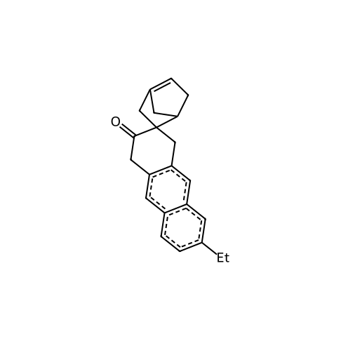 CCc1ccc2cc3c(cc2c1)CC1(CC2=CCC1C2)C(=O)C3